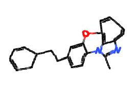 Cc1nc2cccc3c2n1-c1ccc(CCC2C=CC=CC2)cc1O3